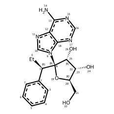 CC[C@H](c1ccccc1)[C@@]1(n2cnc3c(N)ncnc32)O[C@H](CO)[C@@H](O)[C@H]1O